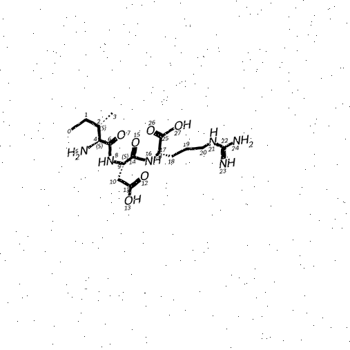 CC[C@H](C)[C@H](N)C(=O)N[C@@H](CC(=O)O)C(=O)N[C@@H](CCCNC(=N)N)C(=O)O